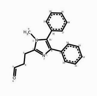 CN1C(CCC=O)=[N+]C(c2ccccc2)=C1c1ccccc1